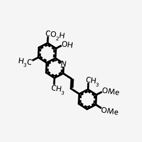 COc1ccc(/C=C/c2nc3c(O)c(C(=O)O)cc(C)c3cc2C)c(C)c1OC